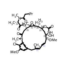 COc1cc2cc(c1Cl)N(C)C(=O)C[C@H](OC(=O)[C@H](C)N(C)C(=O)CC(C)C)[C@]1(C)O[C@H]1[C@H](C)[C@@H]1C[C@@](O)(NC(=O)O1)[C@H](OC)/C=C/C=C(\C)C2